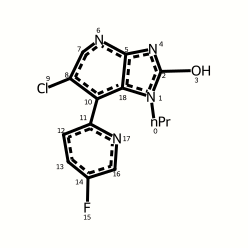 CCCn1c(O)nc2ncc(Cl)c(-c3ccc(F)cn3)c21